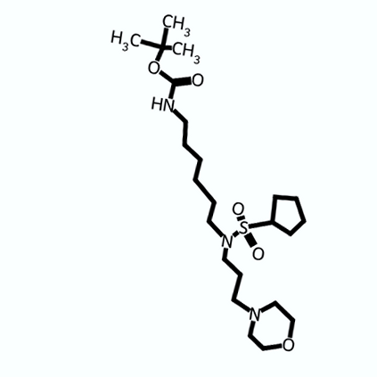 CC(C)(C)OC(=O)NCCCCCCN(CCCN1CCOCC1)S(=O)(=O)C1CCCC1